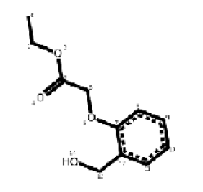 CCOC(=O)COc1ccccc1CO